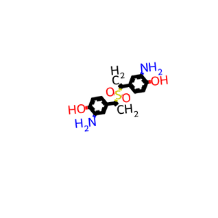 C=C(c1ccc(O)c(N)c1)S(=O)(=O)C(=C)c1ccc(O)c(N)c1